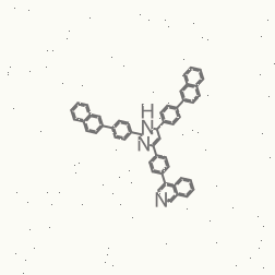 C1=C(c2ccc(-c3cncc4ccccc34)cc2)N=C(c2ccc(-c3ccc4ccccc4c3)cc2)NC1c1ccc(-c2ccc3ccccc3c2)cc1